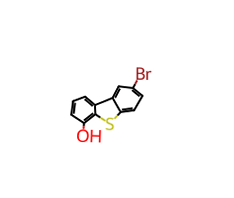 Oc1cccc2c1sc1ccc(Br)cc12